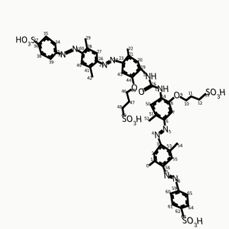 Cc1cc(N=Nc2cc(OCCCS(=O)(=O)O)c(NC(=O)Nc3cc(C)c(N=Nc4cc(C)c(N=Nc5ccc(S(=O)(=O)O)cc5)cc4C)cc3OCCCS(=O)(=O)O)cc2C)c(C)cc1N=Nc1ccc(S(=O)(=O)O)cc1